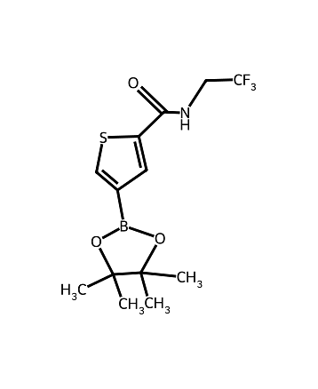 CC1(C)OB(c2csc(C(=O)NCC(F)(F)F)c2)OC1(C)C